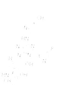 CNC(=O)[C@@]12C[C@@H]1C(n1cnc3c(NCc4cc(C)ccn4)nc(-c4cncc(F)c4)nc31)[C@H](O)[C@@H]2O